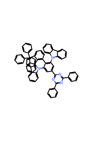 c1ccc(-c2nc(-c3ccccc3)nc(-c3cc(-n4c5ccccc5c5ccccc54)c(-c4cccc5c4-c4ccccc4C5(c4ccccc4)c4ccccc4)c(-n4c5ccccc5c5ccccc54)c3)n2)cc1